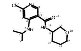 CC(C)Nc1cc(Cl)ncc1C(=O)NC1CCCOC1